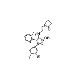 Cc1cccnc1C1=C(NCCN2CCCC2=O)N(O)ON1c1ccc(F)c(Br)c1